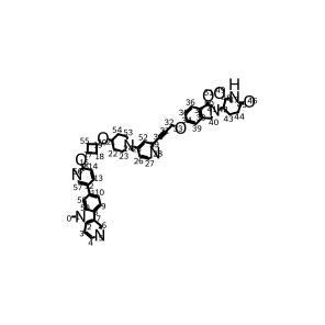 Cn1c2ccncc2c2ccc(-c3ccc(OC4CC(OC5CCN(c6ccnc(C#CCOc7ccc8c(c7)CN(C7CCC(=O)NC7=O)C8=O)c6)CC5)C4)nc3)cc21